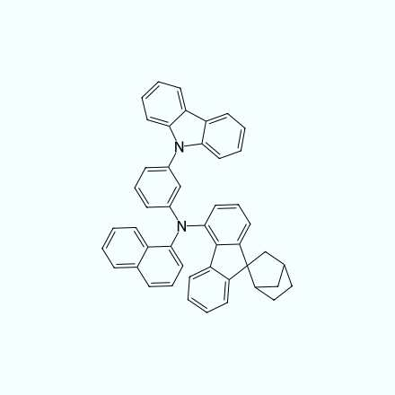 c1cc(N(c2cccc3c2-c2ccccc2C32CC3CCC2C3)c2cccc3ccccc23)cc(-n2c3ccccc3c3ccccc32)c1